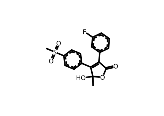 CC1(O)OC(=O)C(c2cccc(F)c2)=C1c1ccc(S(C)(=O)=O)cc1